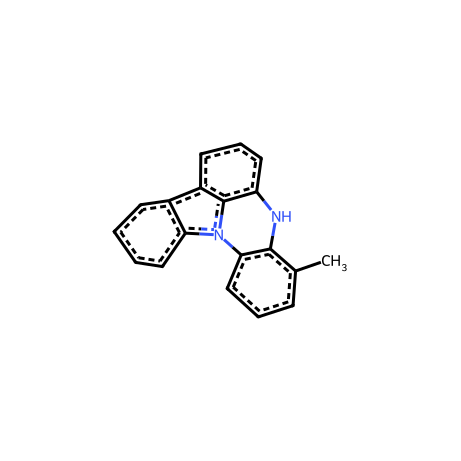 Cc1cccc2c1Nc1cccc3c4ccccc4n-2c13